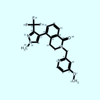 COc1ccnc(CN2CCc3c(cccc3-c3cn(C)nc3C(F)(F)F)C2=O)c1